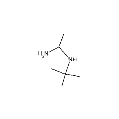 CC(N)NC(C)(C)C